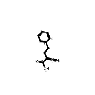 [N-]=[N+]=C(CCc1ccccc1)C(=O)O